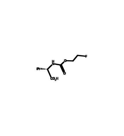 CC(C)[C@H](NC(=O)OCCF)C(=O)O